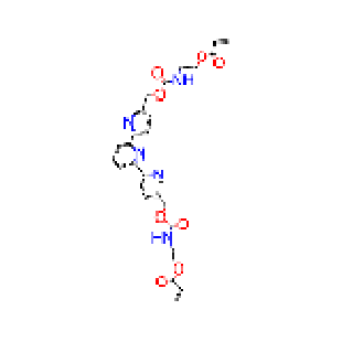 C=CC(=O)OCCNC(=O)OCc1ccc(-c2cccc(-c3ccc(COC(=O)NCCOC(=O)C=C)cn3)n2)nc1